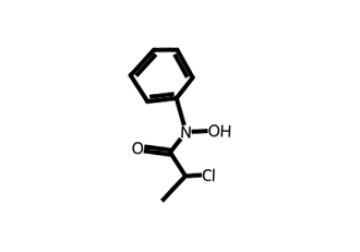 CC(Cl)C(=O)N(O)c1ccccc1